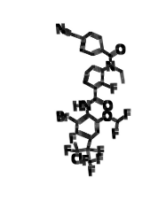 CCN(C(=O)c1ccc(C#N)cc1)c1cccc(C(=O)Nc2c(Br)cc(C(F)(C(F)(F)F)C(F)(F)Cl)cc2OC(F)F)c1F